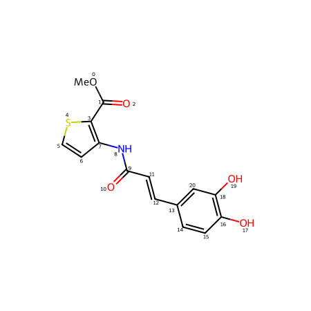 COC(=O)c1sccc1NC(=O)/C=C/c1ccc(O)c(O)c1